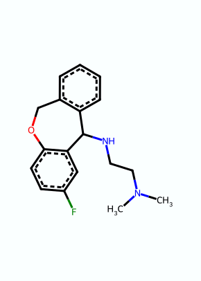 CN(C)CCNC1c2ccccc2COc2ccc(F)cc21